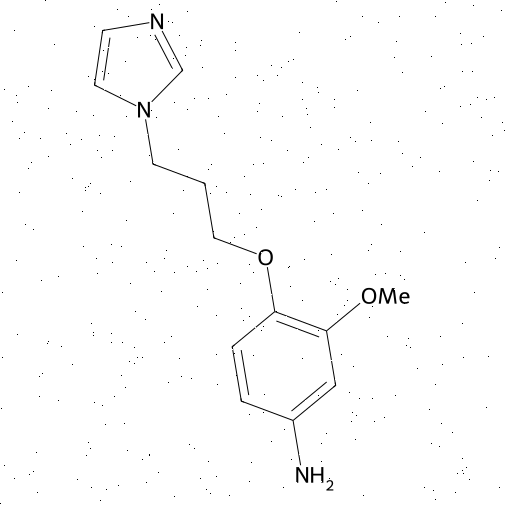 COc1cc(N)ccc1OCCCn1ccnc1